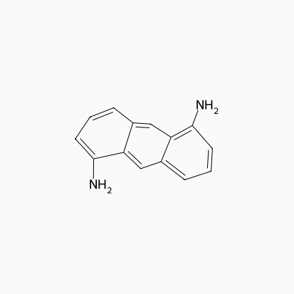 Nc1cccc2cc3c(N)cccc3cc12